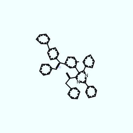 C=C(Cc1ccccc1)c1nc(-c2ccccc2)nc(-c2ccccc2)c1-c1cc(/C(=C/c2ccccc2)c2ccc(-c3ccccc3)cc2)ccc1C